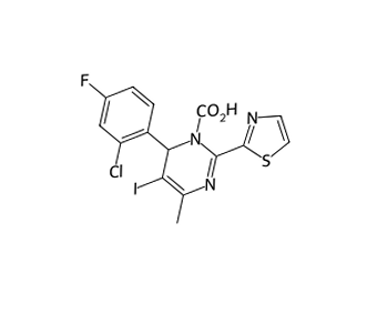 CC1=C(I)C(c2ccc(F)cc2Cl)N(C(=O)O)C(c2nccs2)=N1